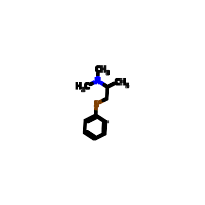 CC(CSc1[c]cccc1)N(C)C